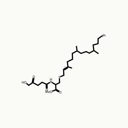 COC(=O)C(CSC/C=C(\C)CCCC(C)CCCC(C)CCCC(C)C)NC(=O)CCC(=O)CO